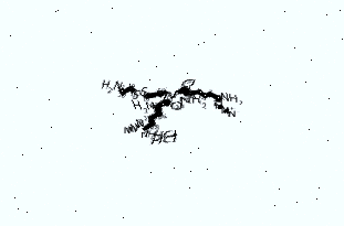 Cl.Cl.[N-]=[N+]=NC(N)CCCC(N)C(=O)N(CCSSCCN)C(=O)C(N)CCCC(N)N=[N+]=[N-]